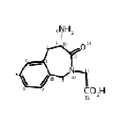 N[C@H]1Cc2ccccc2CN(CC(=O)O)C1=O